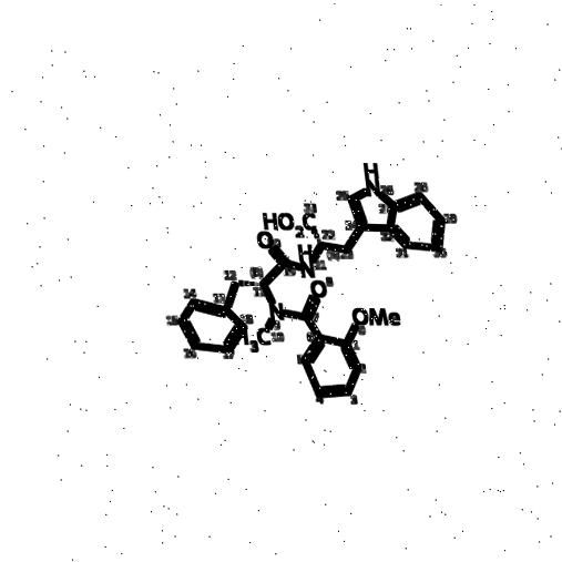 COc1ccccc1C(=O)N(C)[C@H](Cc1ccccc1)C(=O)N[C@@H](Cc1c[nH]c2ccccc12)C(=O)O